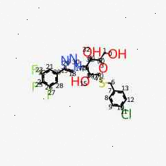 OC[C@H]1O[C@H](SCc2ccc(Cl)cc2)[C@H](O)[C@@H](n2cc(-c3cc(F)c(F)c(F)c3)nn2)[C@H]1O